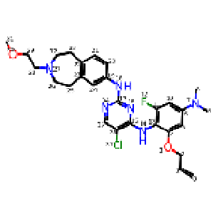 C=CCOc1cc(N(C)C)cc(F)c1Nc1nc(Nc2ccc3c(c2)CCN(CCOC)CC3)ncc1Cl